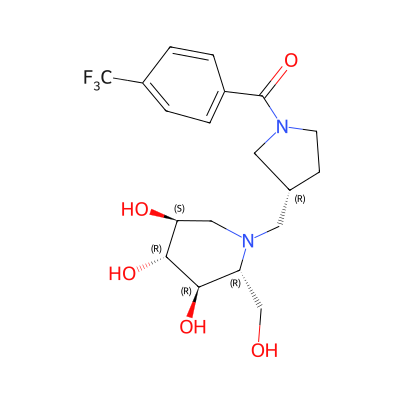 O=C(c1ccc(C(F)(F)F)cc1)N1CC[C@H](CN2C[C@H](O)[C@@H](O)[C@H](O)[C@H]2CO)C1